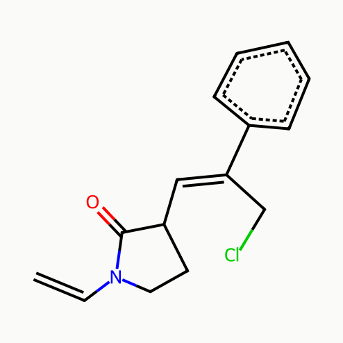 C=CN1CCC(C=C(CCl)c2ccccc2)C1=O